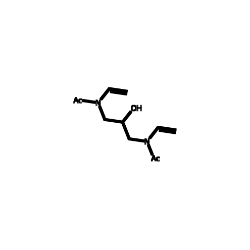 C=CN(CC(O)CN(C=C)C(C)=O)C(C)=O